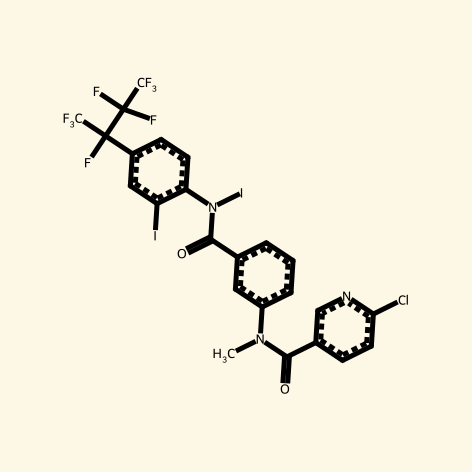 CN(C(=O)c1ccc(Cl)nc1)c1cccc(C(=O)N(I)c2ccc(C(F)(C(F)(F)F)C(F)(F)C(F)(F)F)cc2I)c1